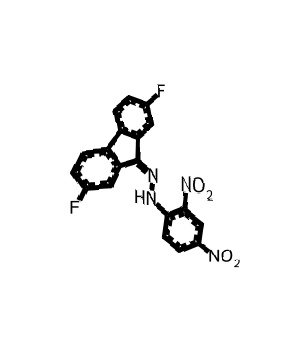 O=[N+]([O-])c1ccc(NN=C2c3cc(F)ccc3-c3ccc(F)cc32)c([N+](=O)[O-])c1